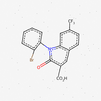 O=C(O)c1cc2ccc(C(F)(F)F)cc2n(-c2ccccc2Br)c1=O